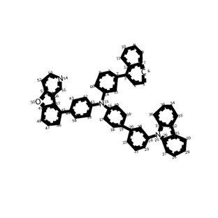 c1cc(-c2cccc3ccccc23)cc(N(c2ccc(-c3cccc(-n4c5ccccc5c5ccccc54)c3)cc2)c2ccc(-c3cccc4oc5ccncc5c34)cc2)c1